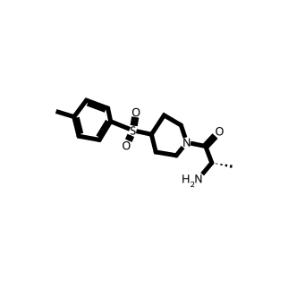 Cc1ccc(S(=O)(=O)C2CCN(C(=O)[C@H](C)N)CC2)cc1